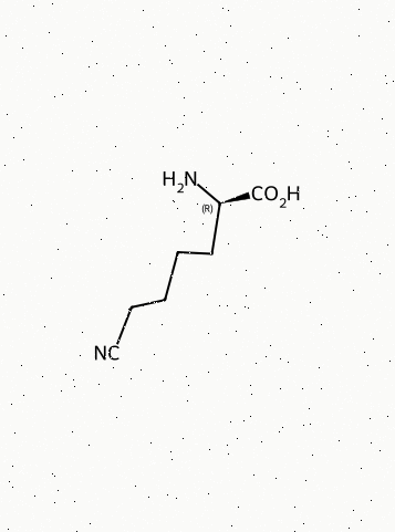 N#CCCCC[C@@H](N)C(=O)O